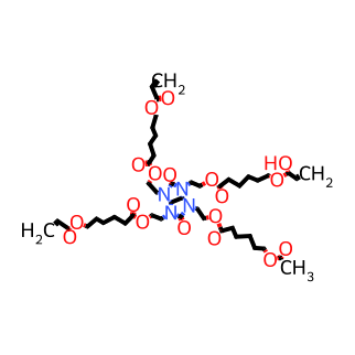 C=CC(=O)OCCCCCC(=O)OCCN1C(=O)N(CCOC(=O)CCCCCOC(C)=O)C2C1N(CCOC(=O)CCCCCOC(=O)C=C)C(=O)N2CCOC(=O)CCCCCOC(O)C=C